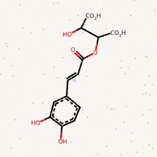 O=C(/C=C/c1ccc(O)c(O)c1)OC(C(=O)O)C(O)C(=O)O